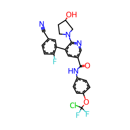 N#Cc1ccc(F)c(-c2cc(C(=O)Nc3ccc(OC(F)(F)Cl)cc3)cnc2N2CC[C@@H](O)C2)c1